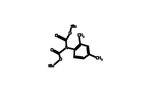 Cc1ccc(N(C(=O)OC(C)(C)C)C(=O)OC(C)(C)C)c(C)c1